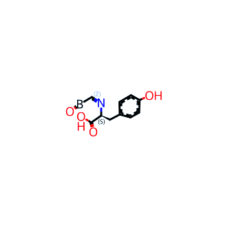 O=B/C=N\[C@@H](Cc1ccc(O)cc1)C(=O)O